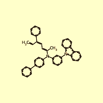 C=C/C(=C\C=C(/C)N(c1ccc(-c2ccccc2)cc1)c1cccc(-n2c3ccccc3c3ccccc32)c1)c1ccccc1